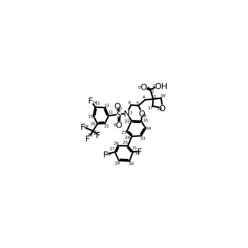 O=C(O)C1(CC2CN(S(=O)(=O)c3cc(F)cc(C(F)(F)F)c3)c3cc(-c4cc(F)ccc4F)ccc3O2)COC1